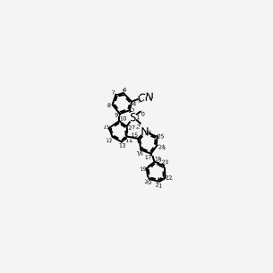 CS1(C)c2c(C#N)cccc2-c2cccc(-c3cc(-c4ccccc4)ccn3)c21